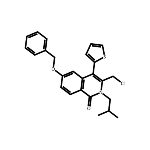 CC(C)Cn1c(CCl)c(-c2cccs2)c2cc(OCc3ccccc3)ccc2c1=O